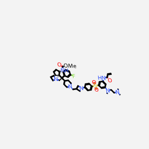 C=CC(=O)Nc1cc(N(C)CCN(C)C)cc(S(=O)(=O)c2ccc(N3CC(CN4CCC([C@@](CN5CCC5)(c5cccc(F)c5)[C@H]5CCC[C@@H]5NC(=O)OC)CC4)C3)cc2)c1